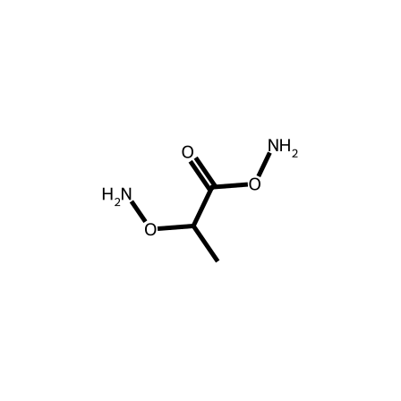 CC(ON)C(=O)ON